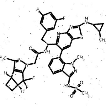 CC1CC1Nc1nc2nc([C@H](Cc3cc(F)cc(F)c3)NC(=O)Cn3nc(C(F)(F)F)c4c3C(F)(F)[C@@H]3CC[C@H]43)c(-c3cccc4c(NS(C)(=O)=O)nn(C)c34)cc2s1